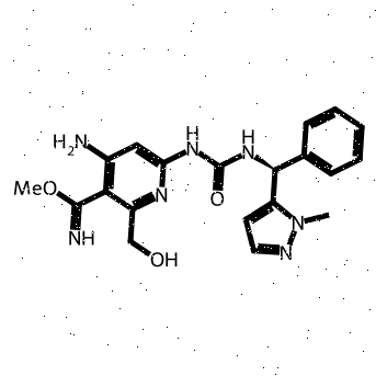 COC(=N)c1c(N)cc(NC(=O)N[C@@H](c2ccccc2)c2ccnn2C)nc1CO